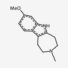 COc1ccc2c3c([nH]c2c1)CCN(C)CC3